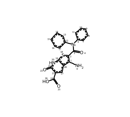 Nc1c(C(=O)N(c2ccccc2)c2ccccc2)sc2[nH]c(=O)c(C(=O)O)cc12